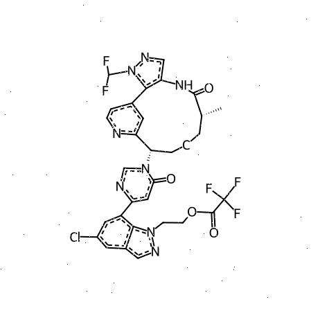 C[C@@H]1CCC[C@H](n2cnc(-c3cc(Cl)cc4cnn(CCOC(=O)C(F)(F)F)c34)cc2=O)c2cc(ccn2)-c2c(cnn2C(F)F)NC1=O